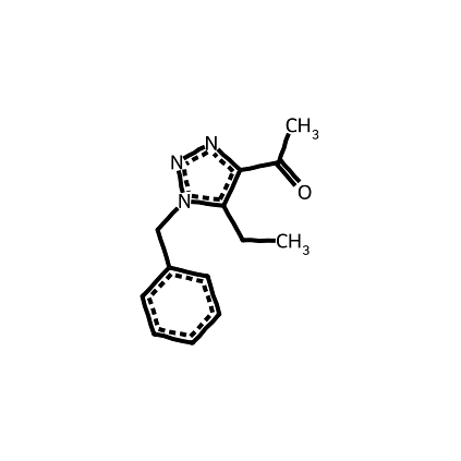 CCc1c(C(C)=O)nnn1Cc1ccccc1